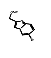 COCc1cn2cc(Br)ccc2n1